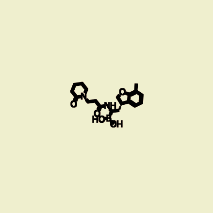 Cc1cccc2c1OC[C@H]2CC(NC(=O)CCN1CCCCC1=O)B(O)O